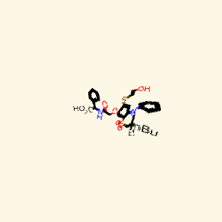 CCCCC1(CC)CN(c2ccccc2)c2cc(SCCO)c(OCC(=O)NC(C(=O)O)c3ccccc3)cc2S(=O)(=O)C1